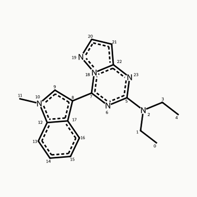 CCN(CC)c1nc(-c2cn(C)c3ccccc23)n2nccc2n1